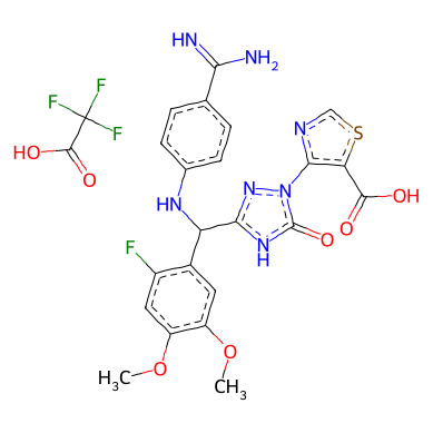 COc1cc(F)c(C(Nc2ccc(C(=N)N)cc2)c2nn(-c3ncsc3C(=O)O)c(=O)[nH]2)cc1OC.O=C(O)C(F)(F)F